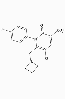 O=C(O)c1cc(Cl)c(CN2CCC2)n(-c2ccc(F)cc2)c1=O